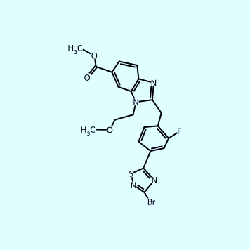 COCCn1c(Cc2ccc(-c3nc(Br)ns3)cc2F)nc2ccc(C(=O)OC)cc21